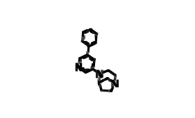 c1ccc(-c2cncc(N3CCN4CCC3C4)c2)cc1